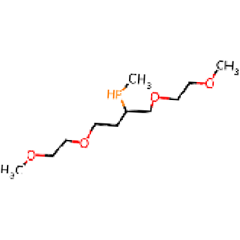 COCCOCCC(COCCOC)PC